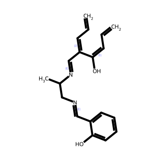 C=C/C=C(/C=N/C(C)C/N=C/c1ccccc1O)C(\O)=C/C=C